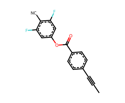 CC#Cc1ccc(C(=O)Oc2cc(F)c(C#N)c(F)c2)cc1